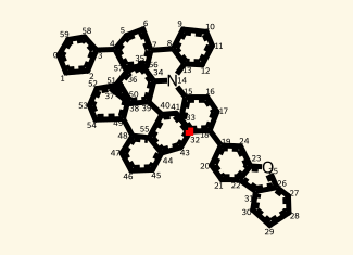 c1ccc(-c2ccc(-c3ccccc3N(c3ccc(-c4ccc5c(c4)oc4ccccc45)cc3)c3ccccc3-c3cccc4cccc(-c5ccccc5)c34)cc2)cc1